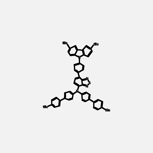 CC(C)(C)c1ccc(-c2ccc(N(c3ccc(-c4ccc(C(C)(C)C)cc4)cc3)c3ccc(-c4ccc(-n5c6ccc(C(C)(C)C)cc6c6cc(C(C)(C)C)ccc65)cc4)c4nsnc34)cc2)cc1